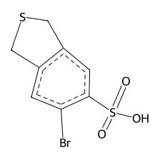 O=S(=O)(O)c1cc2c(cc1Br)CSC2